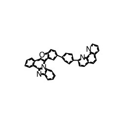 c1cnc2c(c1)ccc1ccc(-c3ccc(-c4ccc5oc6c7ccccc7c7nc8ccccc8n7c6c5c4)cc3)nc12